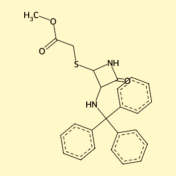 COC(=O)CSC1NC(=O)C1NC(c1ccccc1)(c1ccccc1)c1ccccc1